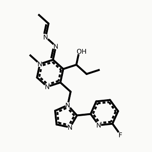 C/C=N/N=c1/c(C(O)CC)c(Cn2ccnc2-c2cccc(F)n2)ncn1C